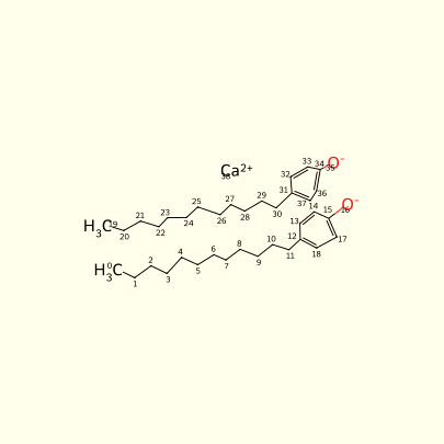 CCCCCCCCCCCCc1ccc([O-])cc1.CCCCCCCCCCCCc1ccc([O-])cc1.[Ca+2]